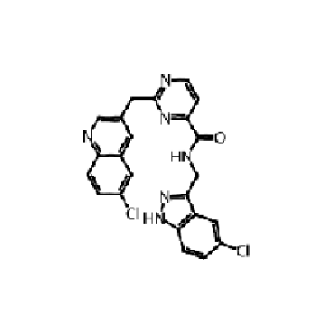 O=C(NCc1n[nH]c2ccc(Cl)cc12)c1ccnc(Cc2cnc3ccc(Cl)cc3c2)n1